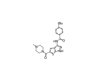 CN1CCN(C(=O)c2cc3c(NC(=O)c4ccc(C(C)(C)C)cc4)n[nH]c3s2)CC1